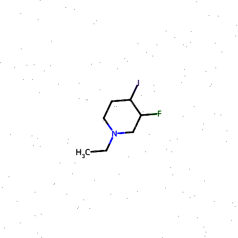 CCN1CCC(I)C(F)C1